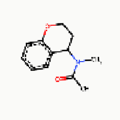 CC(=O)N(C)C1CCOc2ccccc21